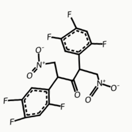 O=C(C(C[N+](=O)[O-])c1cc(F)c(F)cc1F)C(C[N+](=O)[O-])c1cc(F)c(F)cc1F